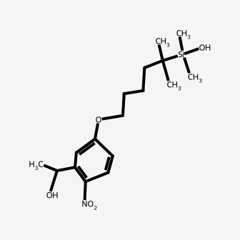 CC(O)c1cc(OCCCCC(C)(C)[Si](C)(C)O)ccc1[N+](=O)[O-]